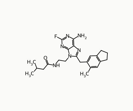 Cc1cc2c(cc1Cc1nc3c(N)nc(F)nc3n1CCNC(=O)CC(C)C)CCC2